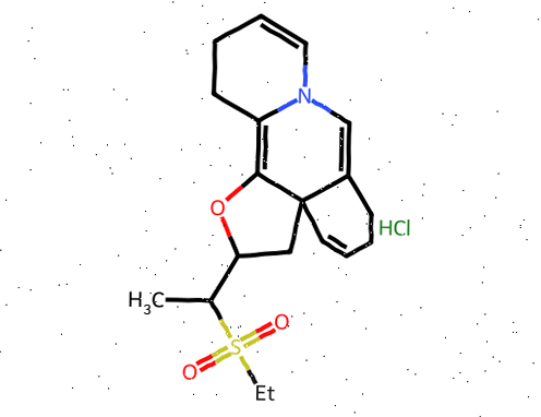 CCS(=O)(=O)C(C)C1CC23C=CCCC2=CN2C=CCCC2=C3O1.Cl